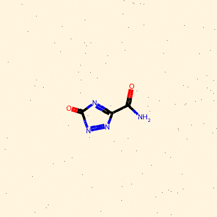 NC(=O)C1=NC(=O)N=N1